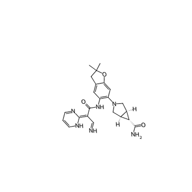 CC1(C)Cc2cc(NC(=O)/C(C=N)=C3\N=CC=CN3)c(N3C[C@@H]4[C@H](C3)[C@H]4C(N)=O)cc2O1